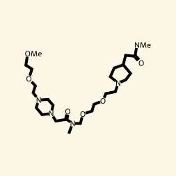 CNC(=O)CC1CCN(CCOCCOCN(C)C(=O)CN2CCN(CCOCCOC)CC2)CC1